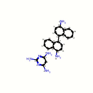 Nc1cc(N)nc(N)n1.Nc1ccc(-c2ccc(N)c3ccccc23)c2ccccc12